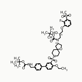 CCOc1ccc(-c2ccc(CNC(=O)OC(C)(C)C)cc2)cc1S(=O)(=O)N1CCC2(CC1)C[C@H](N(C[C@H](O)COc1cccc(S(C)(=O)=O)c1F)C(=O)OC(C)(C)C)CO2